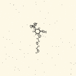 COCCOCCOc1ccc([N+](=O)[O-])cc1O